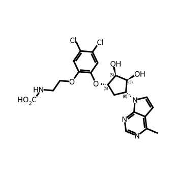 Cc1ncnc2c1ccn2[C@@H]1C[C@H](Oc2cc(Cl)c(Cl)cc2OCCNC(=O)O)[C@@H](O)[C@H]1O